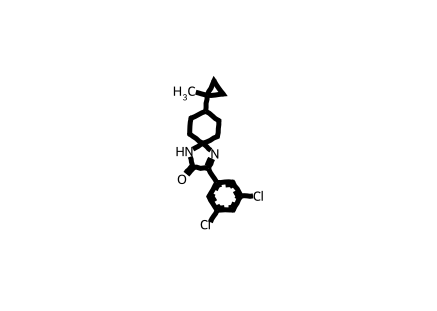 CC1(C2CCC3(CC2)N=C(c2cc(Cl)cc(Cl)c2)C(=O)N3)CC1